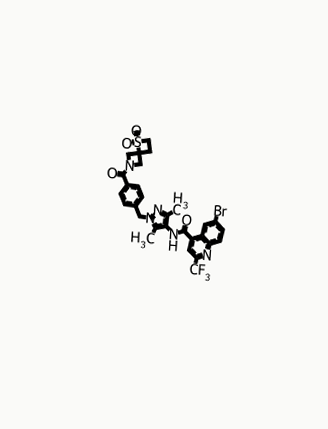 Cc1nn(Cc2ccc(C(=O)N3CC4(CCS4(=O)=O)C3)cc2)c(C)c1NC(=O)c1cc(C(F)(F)F)nc2ccc(Br)cc12